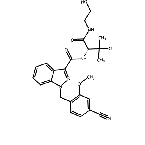 COc1cc(C#N)ccc1Cn1nc(C(=O)N[C@H](C(=O)NCCO)C(C)(C)C)c2ccccc21